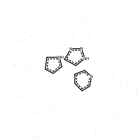 c1c[nH]nn1.c1cc[nH]c1.c1ccncc1